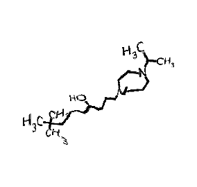 CC(C)N1CCN(CCC[C@H](O)CCCC(C)(C)C)CC1